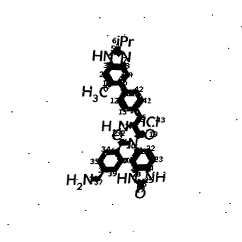 Cc1cc2[nH]c(C(C)C)nc2cc1-c1ccc(C[C@H](N)C(=O)N(c2ccc3[nH]c(=O)[nH]c3c2)C(=O)[C@H]2CC[C@H](CN)CC2)cc1.Cl